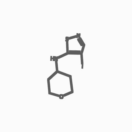 Ic1cnsc1NC1CCOCC1